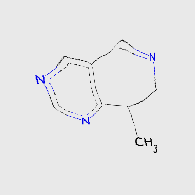 CC1CN=Cc2cncnc21